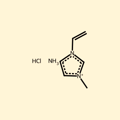 C=Cn1cc[n+](C)c1.Cl.N